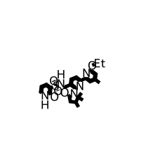 CCOc1cc(C)cc(-c2ccc(C(=O)NS(=O)(=O)c3ccc[nH]c3=O)c(N3CCC(C)C3(C)C)n2)n1